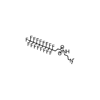 CN(C)CCCNS(=O)(=O)CCC(F)(F)C(F)(F)C(F)(F)C(F)(F)C(F)(F)C(F)(F)C(F)(F)C(F)(F)F